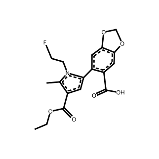 CCOC(=O)c1cc(-c2cc3c(cc2C(=O)O)OCO3)n(CCF)c1C